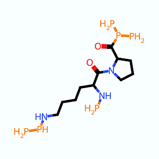 O=C(C(CCCCNPP)NP)N1CCCC1C(=O)P(P)P